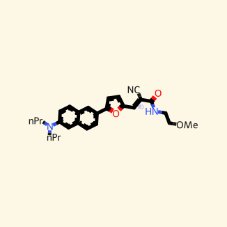 CCCN(CCC)c1ccc2cc(-c3ccc(/C=C(\C#N)C(=O)NCCOC)o3)ccc2c1